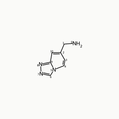 NCc1ccn2cnnc2c1